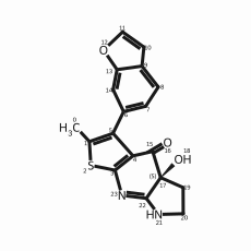 Cc1sc2c(c1-c1ccc3ccoc3c1)C(=O)[C@]1(O)CCNC1=N2